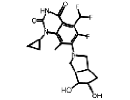 Cc1c(N2CC3CC(O)C(O)C3C2)c(F)c(C(F)F)c2c(=O)[nH]c(=O)n(C3CC3)c12